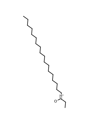 CCCCCCCCCCCCCCCCCC[NH+]([O-])CC